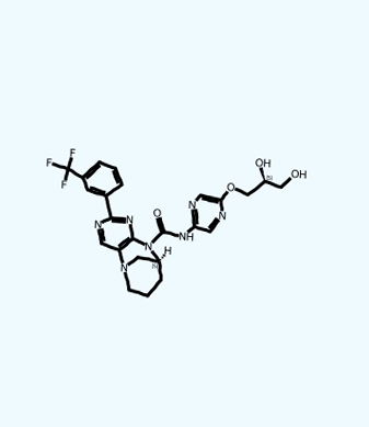 O=C(Nc1cnc(OC[C@@H](O)CO)cn1)N1c2nc(-c3cccc(C(F)(F)F)c3)ncc2N2CCC[C@H]1C2